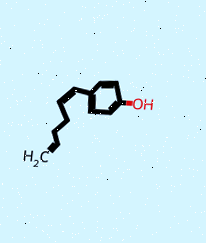 C=CCC/C=C\c1ccc(O)cc1